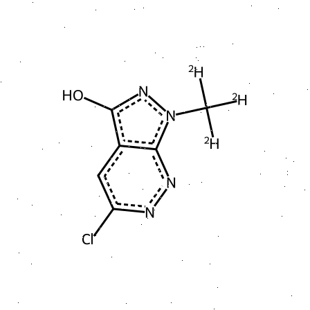 [2H]C([2H])([2H])n1nc(O)c2cc(Cl)nnc21